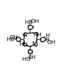 OBc1ccc(-c2c3nc(c(-c4ccc(BO)cc4)c4ccc([nH]4)c(-c4ccc(BO)cc4)c4nc(c(-c5ccc(BO)cc5)c5ccc2[nH]5)C=C4)C=C3)cc1